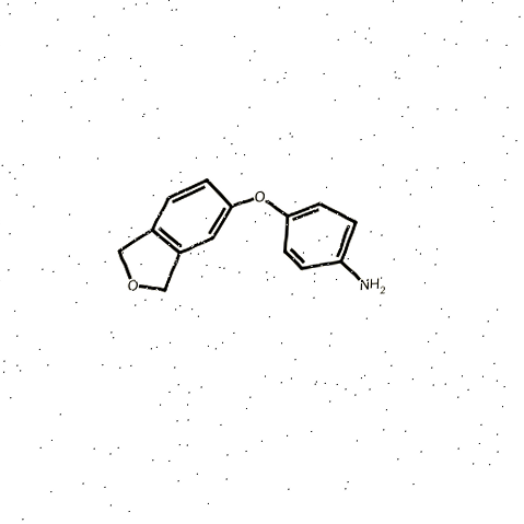 Nc1ccc(Oc2ccc3c(c2)COC3)cc1